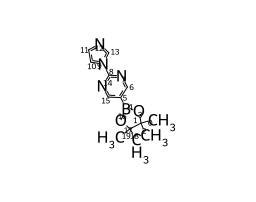 CC1(C)OB(c2cnc(-n3ccnc3)nc2)OC1(C)C